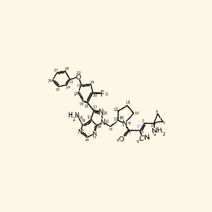 N#C/C(=C\C1(N)CC1)C(=O)N1CCC[C@@H]1Cn1nc(-c2ccc(Oc3ccccc3)cc2F)c2c(N)ncnc21